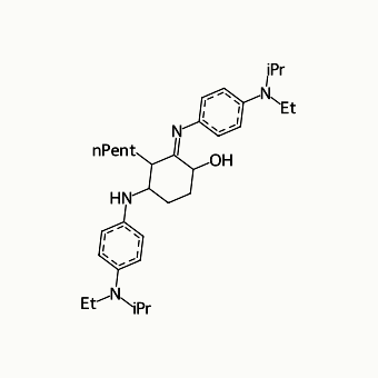 CCCCCC1C(=Nc2ccc(N(CC)C(C)C)cc2)C(O)CCC1Nc1ccc(N(CC)C(C)C)cc1